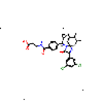 CC1CC2(CC(C)C1C)N=C(c1cc(Cl)cc(Cl)c1)C(=O)N2[C@@H](c1ccc(C(=O)NCCC(=O)O)cc1)C1CC1